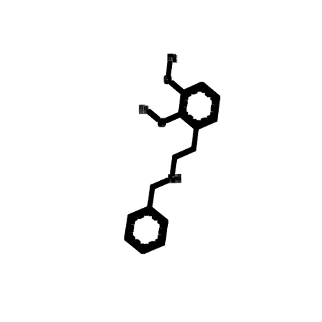 CCOc1cccc(CCNCc2ccccc2)c1OCC